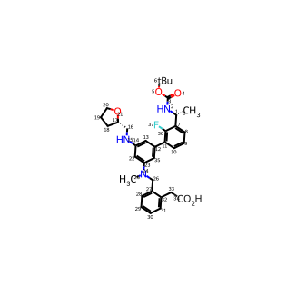 C[C@@H](NC(=O)OC(C)(C)C)c1cccc(-c2cc(NC[C@@H]3CCCO3)cc(N(C)Cc3ccccc3CC(=O)O)c2)c1F